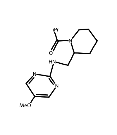 COc1cnc(NCC2CCCCN2C(=O)C(C)C)nc1